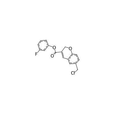 O=C(Oc1cccc(F)c1)C1=Cc2cc(CCl)ccc2OC1